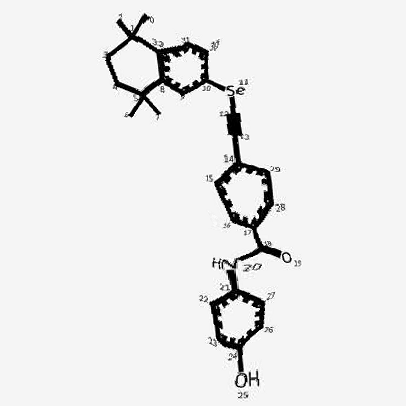 CC1(C)CCC(C)(C)c2cc([Se]C#Cc3ccc(C(=O)Nc4ccc(O)cc4)cc3)ccc21